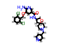 Nc1ncc(C(=O)NC2COC3(CCN(Cc4ccncc4)CC3)C2)cc1OCc1c(Cl)cccc1Cl